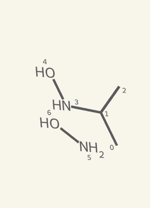 CC(C)NO.NO